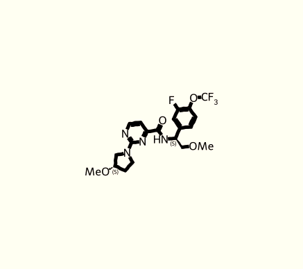 COC[C@@H](NC(=O)c1ccnc(N2CC[C@H](OC)C2)n1)c1ccc(OC(F)(F)F)c(F)c1